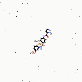 COc1cc(NC(=O)c2ccnn2C)ccc1S(=O)(=O)Nc1cccc(OC(C)C)c1